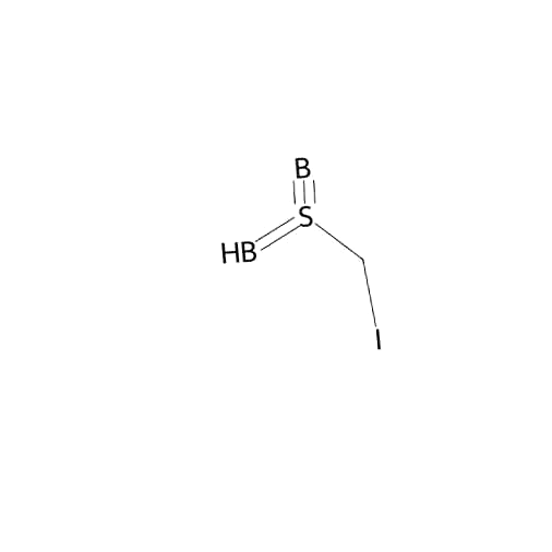 B#S(=B)CI